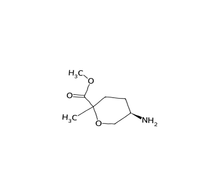 COC(=O)C1(C)CC[C@@H](N)CO1